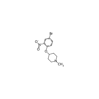 CN1CCC(Oc2ccc(Br)cc2[N+](=O)[O-])CC1